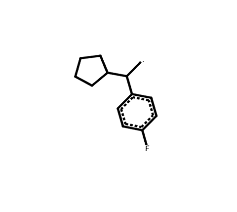 [CH2]C(c1ccc(F)cc1)C1CCCC1